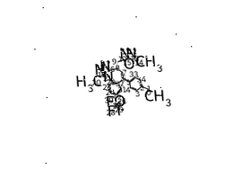 CCc1ccc(C2=C[C@@H](Cc3nnc(C)o3)c3nnc(C)n3-c3ccc(OC(F)(F)F)cc32)cc1